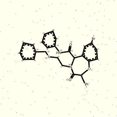 CC(C)C1Oc2ccc(Br)cc2C(C(=O)Nc2ccccc2)N(CCSCc2ccccc2)C1=O